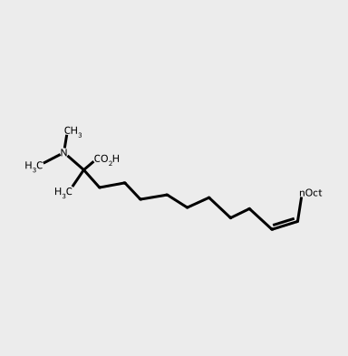 CCCCCCCC/C=C\CCCCCCCCC(C)(C(=O)O)N(C)C